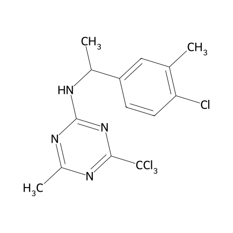 Cc1nc(NC(C)c2ccc(Cl)c(C)c2)nc(C(Cl)(Cl)Cl)n1